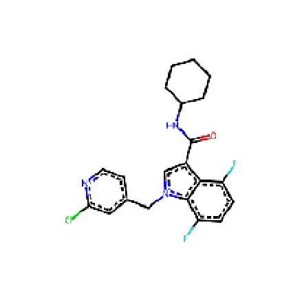 O=C(NC1CCCCC1)c1cn(Cc2ccnc(Cl)c2)c2c(F)ccc(F)c12